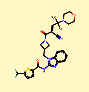 CC(C)(/C=C(\C#N)C(=O)N1CC(Cn2c(NC(=O)c3ccc(C(F)F)s3)nc3ccccc32)C1)N1CCOCC1